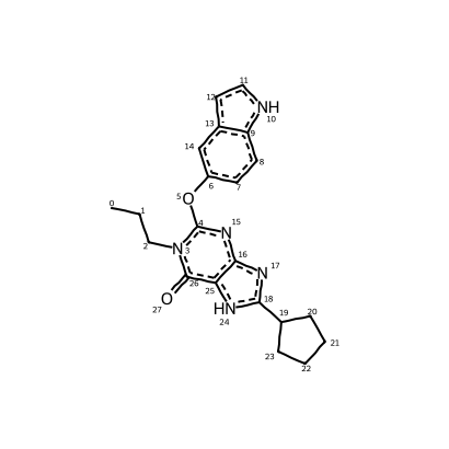 CCCn1c(Oc2ccc3[nH]ccc3c2)nc2nc(C3CCCC3)[nH]c2c1=O